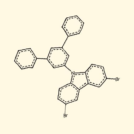 Brc1ccc2c(c1)c1cc(Br)ccc1n2-c1cc(-c2ccccc2)cc(-c2ccccc2)c1